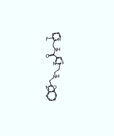 O=C(NCc1ncccc1F)c1csc(CCNCc2nc3ccccc3o2)n1